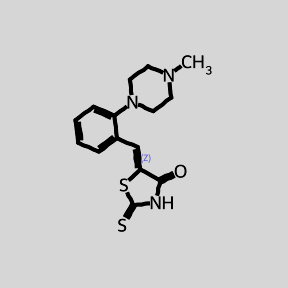 CN1CCN(c2ccccc2/C=C2\SC(=S)NC2=O)CC1